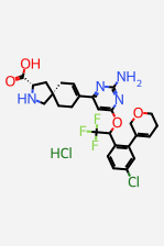 Cl.Nc1nc(OC(c2ccc(Cl)cc2C2=CCCOC2)C(F)(F)F)cc(C2=CC[C@]3(CC2)CN[C@H](C(=O)O)C3)n1